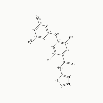 O=C(Nc1nncs1)c1cc(F)c(Oc2cc(C(F)(F)F)cc(C(F)(F)F)c2)cc1F